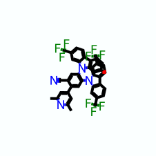 Cc1ccc2c3ccc(C(F)(F)F)cc3n(-c3cc(C#N)c(-c4cc(C)nc(C)c4)cc3-n3c4cc(C(F)(F)F)ccc4c4ccc(C(F)(F)F)cc43)c2c1